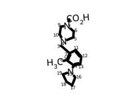 Cc1c(CN2CCN(C(=O)O)CC2)cccc1N1CCCC1